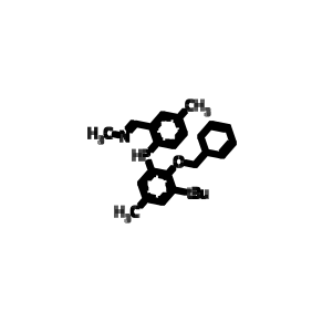 C/N=C/c1cc(C)ccc1Pc1cc(C)cc(C(C)(C)C)c1OCC1C=CC=CC1